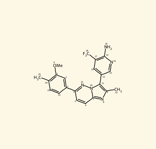 COc1cc(-c2ccc3nc(C)c(-c4cnc(N)c(C(F)(F)F)c4)n3n2)ccc1C